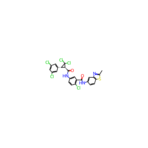 Cc1nc2cc(NC(=O)c3cc(NC(=O)[C@H]4[C@H](c5cc(Cl)cc(Cl)c5)C4(Cl)Cl)ccc3Cl)ccc2s1